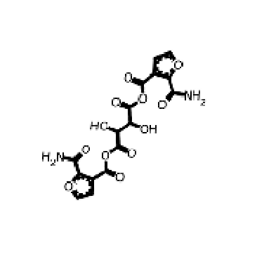 NC(=O)c1occc1C(=O)OC(=O)C(O)C(O)C(=O)OC(=O)c1ccoc1C(N)=O